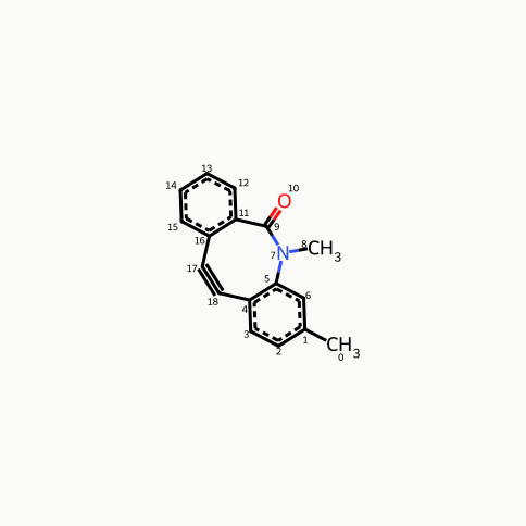 Cc1ccc2c(c1)N(C)C(=O)c1ccccc1C#C2